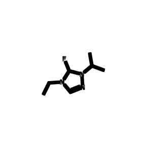 CCN1C=NN(C(C)C)C1F